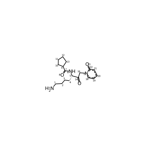 NCCCC[C@H](NC(=O)C1CCCC1)C(=O)Cn1ccccc1=O